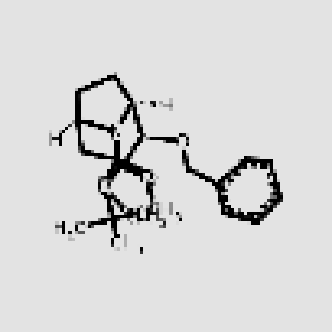 COC1(OC)C[C@H]2CC[C@@H]([C@H]1OCc1ccccc1)N2C(=O)OC(C)(C)C